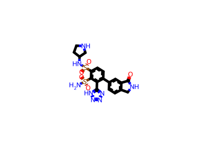 NS(=O)(=O)c1c(S(=O)(=O)NC2CCNC2)ccc(-c2ccc3c(c2)C(=O)NC3)c1-c1nnn[nH]1